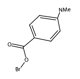 CNc1ccc(C(=O)OBr)cc1